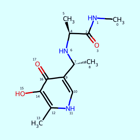 CNC(=O)[C@H](C)N[C@H](C)c1c[nH]c(C)c(O)c1=O